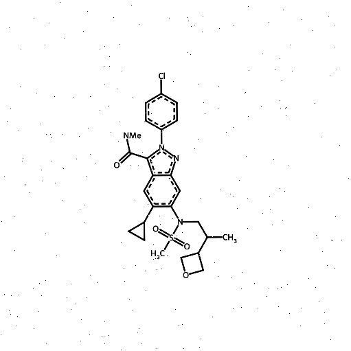 CNC(=O)c1c2cc(C3CC3)c(N(CC(C)C3COC3)S(C)(=O)=O)cc2nn1-c1ccc(Cl)cc1